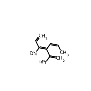 C=C/C(N=O)=C(\C=C/C)C(=C)CCC